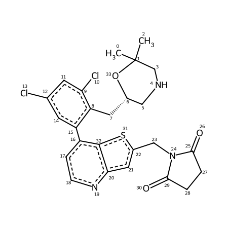 CC1(C)CNC[C@H](Cc2c(Cl)cc(Cl)cc2-c2ccnc3cc(CN4C(=O)CCC4=O)sc23)O1